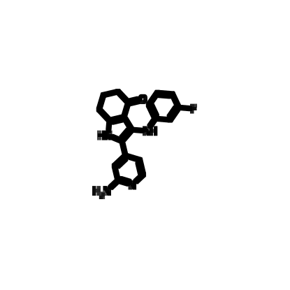 Nc1cc(-c2[nH]c3c(c2Nc2cccc(F)c2)C(=O)CCC3)ccn1